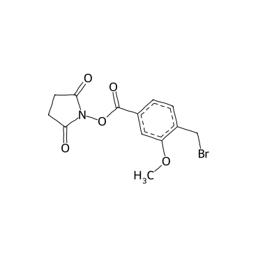 COc1cc(C(=O)ON2C(=O)CCC2=O)ccc1CBr